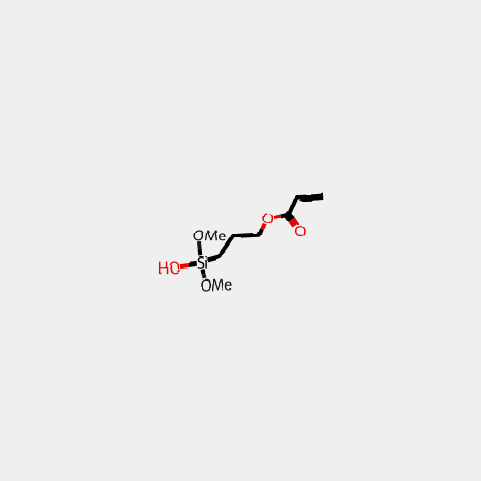 C=CC(=O)OCCC[Si](O)(OC)OC